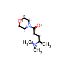 CC(CCC(=O)N1CCOCC1)N(C)C